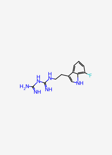 N=C(N)NC(=N)NCCc1c[nH]c2c(F)cccc12